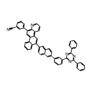 N#Cc1cccc(-c2cc3c4ccccc4c(-c4ccc5cc(-c6cccc(-c7nc(-c8ccccc8)nc(-c8ccccc8)n7)c6)ccc5c4)cc3c3cccnc23)c1